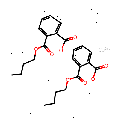 CCCCOC(=O)c1ccccc1C(=O)[O-].CCCCOC(=O)c1ccccc1C(=O)[O-].[Co+2]